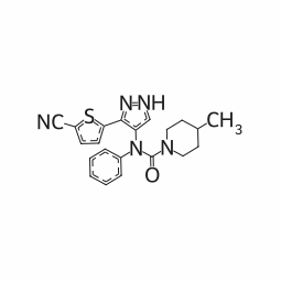 CC1CCN(C(=O)N(c2ccccc2)c2c[nH]nc2-c2ccc(C#N)s2)CC1